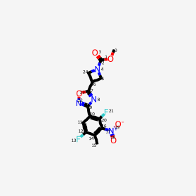 COC(=O)N1CC(c2nc(-c3cc(F)c(C)c([N+](=O)[O-])c3F)no2)C1